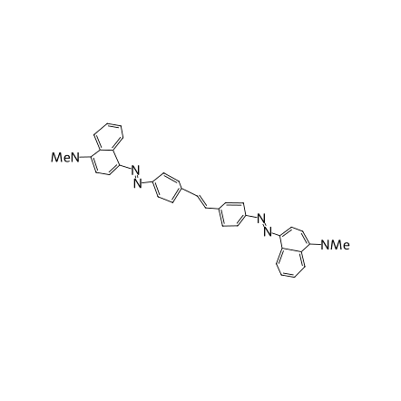 CNc1ccc(N=Nc2ccc(C=Cc3ccc(N=Nc4ccc(NC)c5ccccc45)cc3)cc2)c2ccccc12